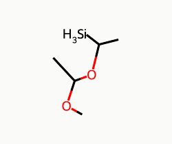 COC(C)OC(C)[SiH3]